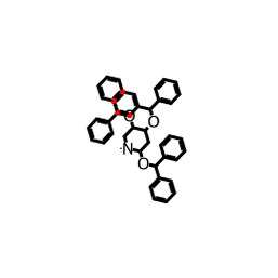 c1ccc(C(OC2CC(OC(c3ccccc3)c3ccccc3)C(OC(c3ccccc3)c3ccccc3)C[N]2)c2ccccc2)cc1